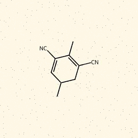 CC1=C(C#N)CC(C)C=C1C#N